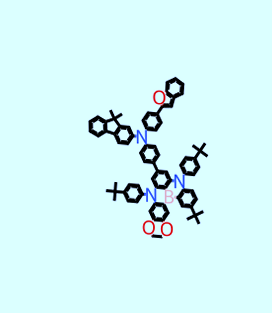 CC(C)(C)c1ccc(N2c3ccc(C(C)(C)C)cc3B3c4cc5c(cc4N(c4ccc(C(C)(C)C)cc4)c4cc(-c6ccc(N(c7ccc(-c8cc9ccccc9o8)cc7)c7ccc8c(c7)C(C)(C)c7ccccc7-8)cc6)cc2c43)OCCO5)cc1